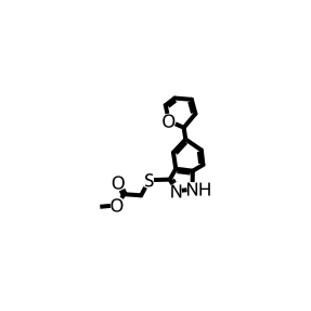 COC(=O)CSc1n[nH]c2ccc(C3C=CC=CO3)cc12